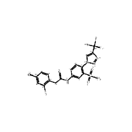 NS(=O)(=O)c1cc(NC(=O)Cc2ccc(Cl)cc2Cl)ccc1-n1cc(C(F)(F)F)nn1